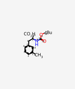 Cc1cccc(CC(NC(=O)OC(C)(C)C)C(=O)O)c1